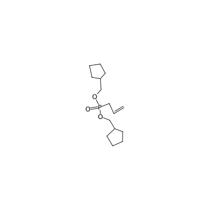 C=CCP(=O)(OCC1CCCC1)OCC1CCCC1